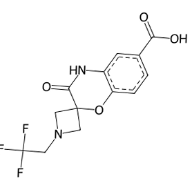 O=C(O)c1ccc2c(c1)NC(=O)C1(CN(CC(F)(F)F)C1)O2